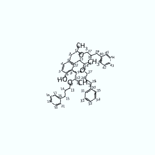 CC(Cc1ccc(O)c(CC(C)OCCCc2ccccc2)c1CC(C)OCCCc1ccccc1)OCCCc1ccccc1